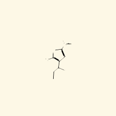 CCC(O)c1cc([N+](=O)[O-])sc1N